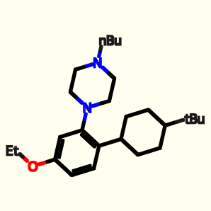 CCCCN1CCN(c2cc(OCC)ccc2C2CCC(C(C)(C)C)CC2)CC1